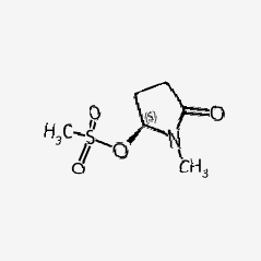 CN1C(=O)CC[C@@H]1OS(C)(=O)=O